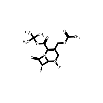 CC(=O)OCC1=C(C(=O)OC(C)(C)C)N2C(=O)[C@H](F)C2[S+]([O-])C1